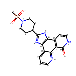 CS(=O)(=O)N1CCC(c2nc3c4cccnc4c4c(=O)[nH]ccc4c3[nH]2)CC1